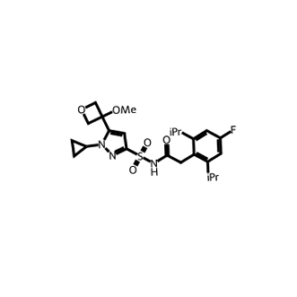 COC1(c2cc(S(=O)(=O)NC(=O)Cc3c(C(C)C)cc(F)cc3C(C)C)nn2C2CC2)COC1